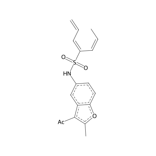 C=C/C=C(\C=C/C)S(=O)(=O)Nc1ccc2oc(C)c(C(C)=O)c2c1